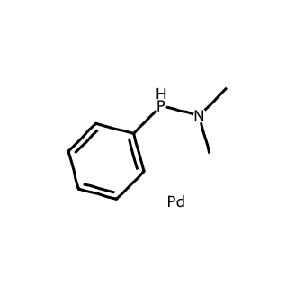 CN(C)Pc1ccccc1.[Pd]